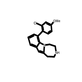 COc1ccc(-c2cccc3cc4n(c23)CCNCC4)c(Cl)c1